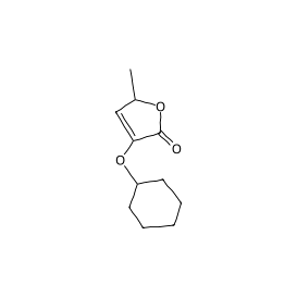 CC1C=C(OC2CCCCC2)C(=O)O1